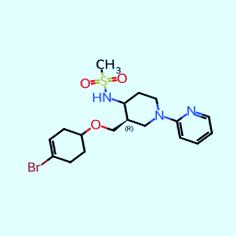 CS(=O)(=O)NC1CCN(c2ccccn2)C[C@H]1COC1CC=C(Br)CC1